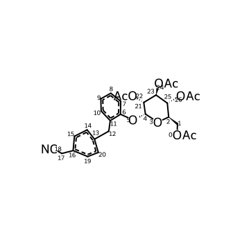 CC(=O)OC[C@H]1O[C@H](Oc2ccccc2Cc2ccc(CC#N)cc2)[C@H](OC(C)=O)[C@@H](OC(C)=O)[C@@H]1OC(C)=O